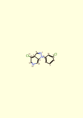 Clc1cccc(-n2ncc3c(Cl)cncc32)c1